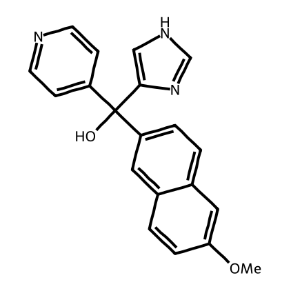 COc1ccc2cc(C(O)(c3ccncc3)c3c[nH]cn3)ccc2c1